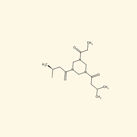 CCC(=O)N1CN(C(=O)CC(C)C)CN(C(=O)C[C@H](C)I)C1